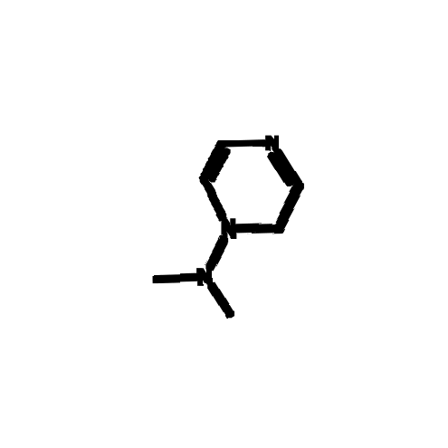 CN(C)N1C=CN=CC1